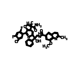 COc1cc(C(=O)NC[C@@](O)(c2ccccc2)c2cc3c(c(-c4cc(Cl)c(F)cc4F)n2)OC[C@]3(C)C(N)=O)cc2ccc(C)nc12